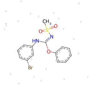 CS(=O)(=O)N=C(Nc1cccc(Br)c1)Oc1ccccc1